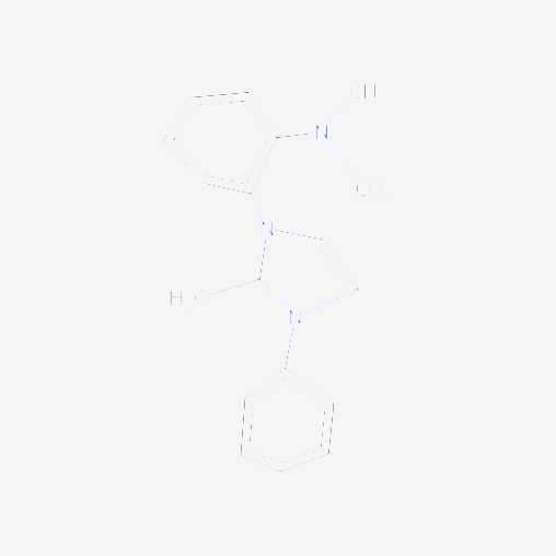 CC1N(c2ccccc2)C=CN1c1ccccc1N(C)C